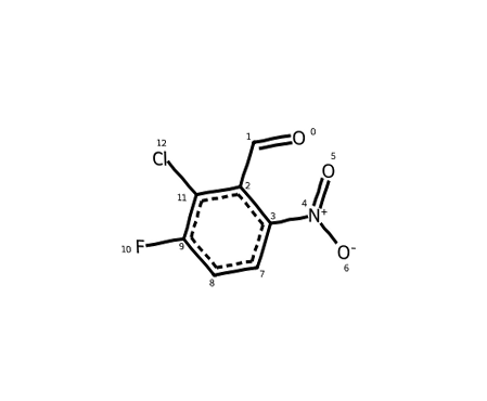 O=Cc1c([N+](=O)[O-])ccc(F)c1Cl